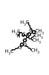 CCCCCCOc1ccc(-c2ccc(-c3c(CC(CC)CCCC)c4cc(-c5ccc(C)cc5OCCCCCC)ccn4c3-c3ccc(/C=C(/C)C#N)s3)cc2)c(OCCCCCC)c1